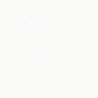 C=CCC1(CC=C)C(=O)N2C(C(=O)C(C)(C)C)=C(C)C(Sc3nnnn3C)S(=O)(=O)[C@H]21